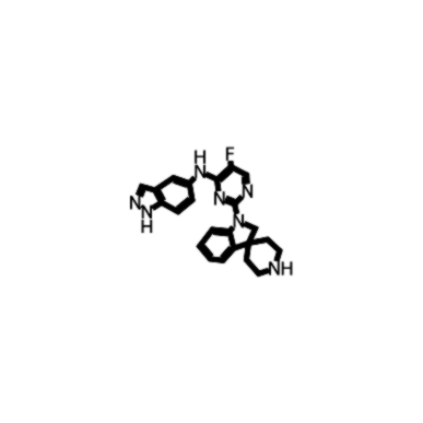 Fc1cnc(N2CC3(CCNCC3)c3ccccc32)nc1Nc1ccc2[nH]ncc2c1